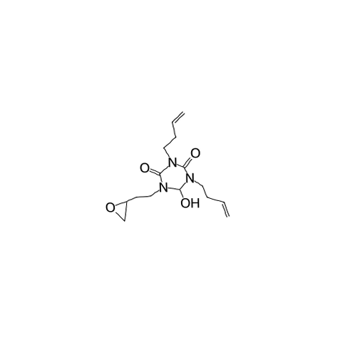 C=CCCN1C(=O)N(CCC=C)C(O)N(CCC2CO2)C1=O